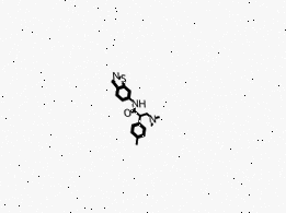 Cc1ccc(C(CN(C)C)C(=O)Nc2ccc3cnsc3c2)cc1